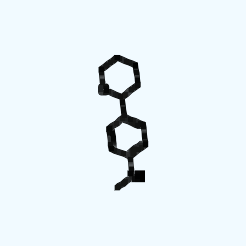 CNc1ccc(C2CCCCO2)cc1